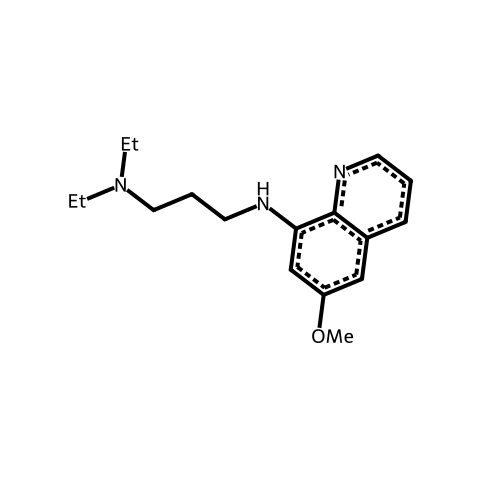 CCN(CC)CCCNc1cc(OC)cc2cccnc12